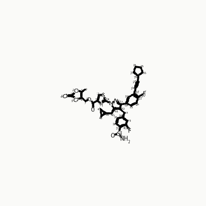 Cc1oc(=O)oc1COC(=O)c1csc(-n2nc(-c3ccc(F)c(C#CC4CCCC4)c3)c(Cc3ccc([S+](N)[O-])c(F)c3)c2CC2CC2)n1